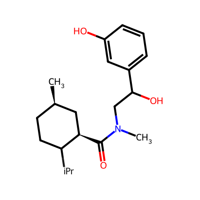 CC(C)C1CC[C@@H](C)C[C@H]1C(=O)N(C)CC(O)c1cccc(O)c1